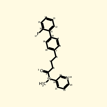 CN(C(=O)CCCc1ccc(-c2ccccc2F)cc1)c1cccnc1